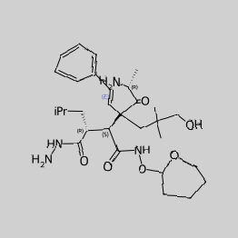 CC(C)C[C@@H](C(=O)NN)[C@H](C(=O)NOC1CCCCO1)C(/C=C/c1ccccc1)(CC(C)(C)CO)C(=O)[C@@H](C)N